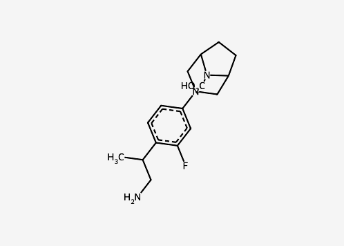 CC(CN)c1ccc(N2CC3CCC(C2)N3C(=O)O)cc1F